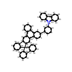 c1cc(-c2ccc3c(c2)c2ccccc2c2cc4c(cc32)C2(c3ccccc3-c3ccccc32)c2ccccc2-4)cc(-n2c3ccccc3c3ccccc32)c1